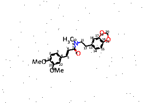 COc1ccc(/C=C/C(=O)N(C)CCc2ccc3c(c2)OCO3)cc1OC